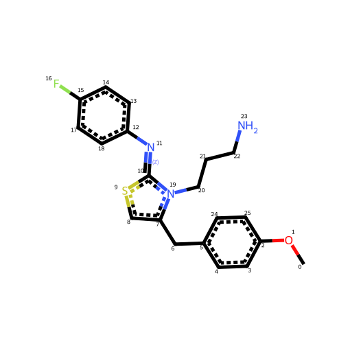 COc1ccc(Cc2cs/c(=N\c3ccc(F)cc3)n2CCCN)cc1